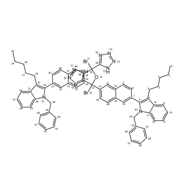 CCCCCc1c(-c2ccc3cc(C(Br)(OC(Br)(c4ccc5cc(-c6c(CCCCC)c7ccccc7n6Cc6ccccc6)ccc5c4)c4nnn[nH]4)c4nnn[nH]4)ccc3c2)n(Cc2ccccc2)c2ccccc12